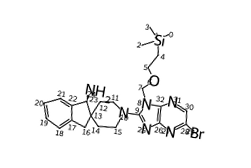 C[Si](C)(C)CCOCn1c(N2CCC3(CC2)Cc2ccccc2[C@H]3N)nc2nc(Br)cnc21